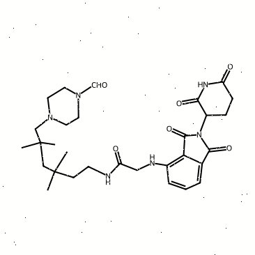 CC(C)(CCNC(=O)CNc1cccc2c1C(=O)N(C1CCC(=O)NC1=O)C2=O)CC(C)(C)CN1CCN(C=O)CC1